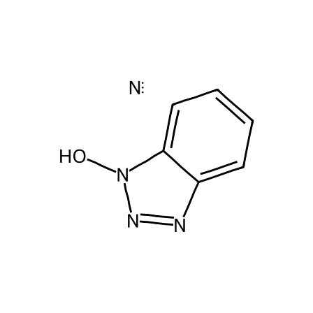 On1nnc2ccccc21.[N]